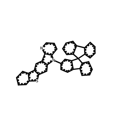 c1ccc2c(c1)-c1ccccc1C21c2ccccc2-c2ccc(-n3c4cc5sc6ccccc6c5cc4c4ncccc43)cc21